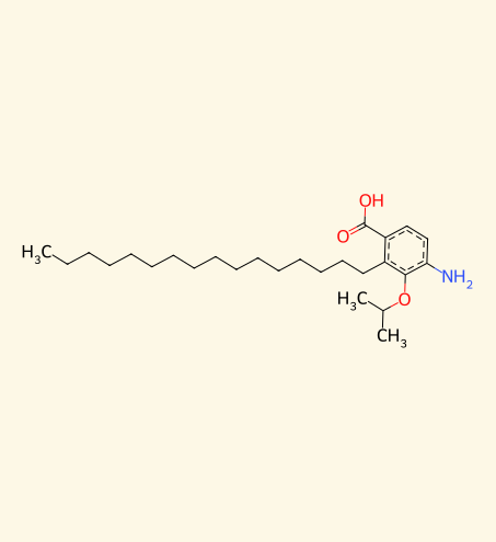 CCCCCCCCCCCCCCCCc1c(C(=O)O)ccc(N)c1OC(C)C